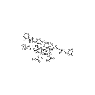 Cc1ccccc1NC(=O)Nc1ccc(CC(=O)N[C@@H](CCCCNC(=O)/C=C/c2cccnc2)C(=O)N[C@@H](CCC(=O)O)C(=O)N[C@@H](CCC(=O)O)C(=O)N[C@@H](CCCNC(=N)N)C(=O)O)cc1